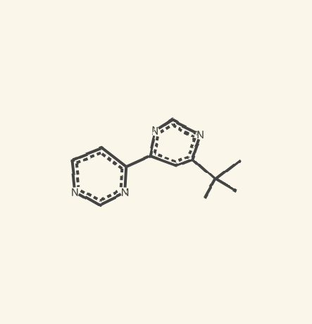 CC(C)(C)c1cc(-c2ccncn2)ncn1